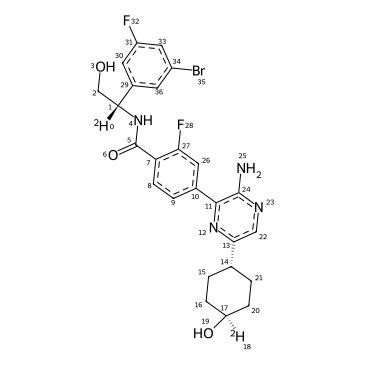 [2H][C@](CO)(NC(=O)c1ccc(-c2nc([C@H]3CC[C@]([2H])(O)CC3)cnc2N)cc1F)c1cc(F)cc(Br)c1